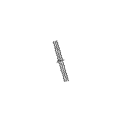 CCCCCCCCCCCCCCCC[P-]CCCCCCCCCCCCCCCC.CCCCCCCCCCCCCCCC[P-]CCCCCCCCCCCCCCCC.CCCCCCCCCCCCCCCC[P-]CCCCCCCCCCCCCCCC.[Al+3]